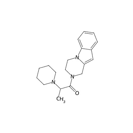 CC(C(=O)N1CCn2c(cc3ccccc32)C1)N1CCCCC1